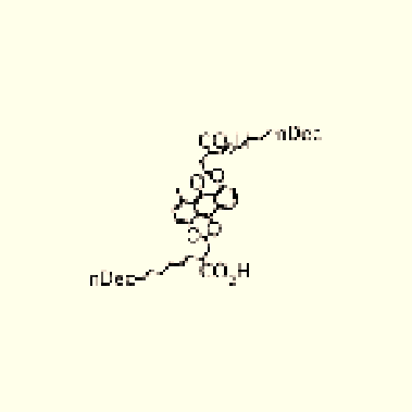 CCCCCCCCCCCCCCC=CC(CC(=O)Oc1c2ccccc2c(OC(=O)CC(C=CCCCCCCCCCCCCCC)C(=O)O)c2c(C)cccc12)C(=O)O